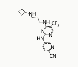 N#Cc1ccc(Nc2ncc(C(F)(F)F)c(NCCCNC3CCC3)n2)cn1